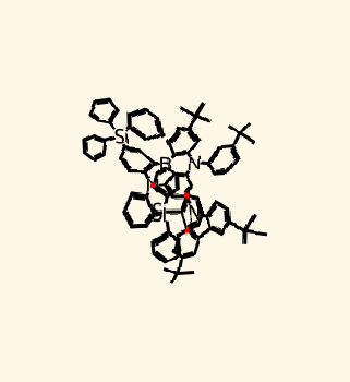 CC(C)(C)c1cccc(N2c3cc(C(C)(C)C)ccc3B3c4cc([Si](c5ccccc5)(c5ccccc5)c5ccccc5)ccc4N(c4ccccc4[Si](c4ccccc4)(c4ccccc4)c4ccccc4)c4cc(-n5c6ccc(C(C)(C)C)cc6c6cc(C(C)(C)C)ccc65)cc2c43)c1